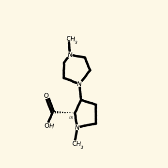 CN1CCN(C2CCN(C)[C@@H]2C(=O)O)CC1